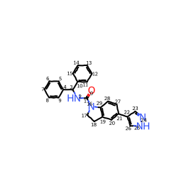 O=C(NC(c1ccccc1)c1ccccc1)N1CCc2cc(-c3cn[nH]c3)ccc21